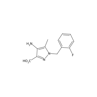 Cc1c(N)c(C(=O)O)nn1Cc1ccccc1F